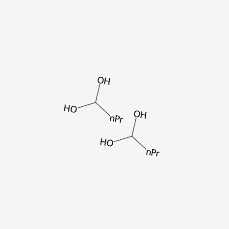 CCCC(O)O.CCCC(O)O